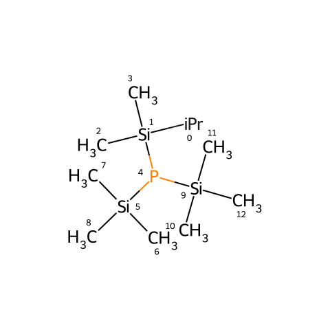 CC(C)[Si](C)(C)P([Si](C)(C)C)[Si](C)(C)C